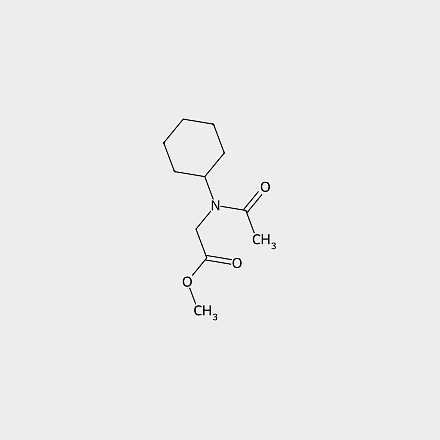 COC(=O)CN(C(C)=O)C1CCCCC1